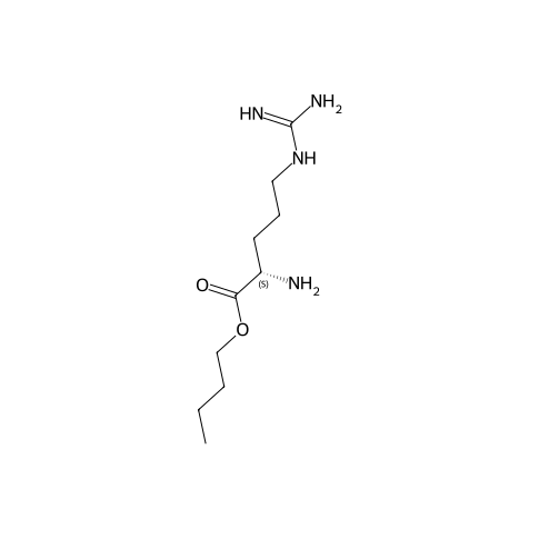 CCCCOC(=O)[C@@H](N)CCCNC(=N)N